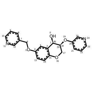 O[C@@H]1c2cc(OCc3cccnc3)ccc2OC[C@@H]1Oc1cccnc1